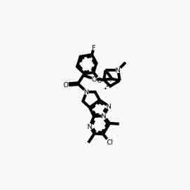 COC1CC2N(C)C1[C@]2(C)Oc1cc(F)ccc1C(=O)N1Cc2nn3c(C)c(Cl)c(C)nc3c2C1